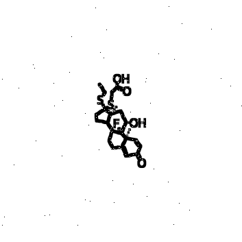 CCS[C@]1(SCC(=O)O)CCC2C3CCC4=CC(=O)C=C[C@]4(C)C3(F)[C@@H](O)C[C@@]21C